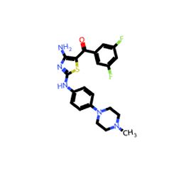 CN1CCN(c2ccc(Nc3nc(N)c(C(=O)c4cc(F)cc(F)c4)s3)cc2)CC1